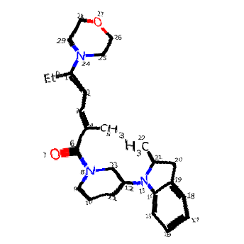 CC/C(=C\C=C(/C)C(=O)N1CCCC(N2c3ccccc3CC2C)C1)N1CCOCC1